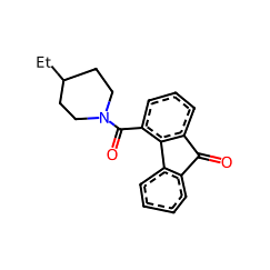 CCC1CCN(C(=O)c2cccc3c2-c2ccccc2C3=O)CC1